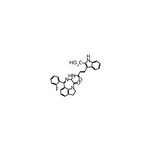 O=C(/C=C/c1c(C(=O)O)[nH]c2ccccc12)NC1N=C(c2ccccc2F)c2cccc3c2N(CC3)C1=O